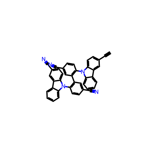 C#Cc1ccc2c(c1)c1ccccc1n2-c1ccc(C#N)cc1-c1cc(C#N)ccc1-n1c2ccccc2c2cc(C#N)ccc21